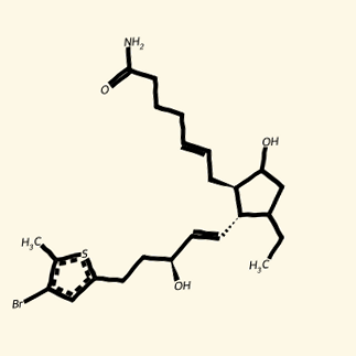 CCC1CC(O)[C@H](CC=CCCCC(N)=O)[C@H]1C=C[C@@H](O)CCc1cc(Br)c(C)s1